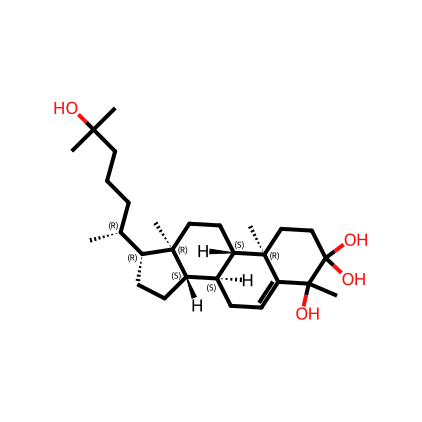 C[C@H](CCCC(C)(C)O)[C@H]1CC[C@H]2[C@@H]3CC=C4C(C)(O)C(O)(O)CC[C@]4(C)[C@H]3CC[C@]12C